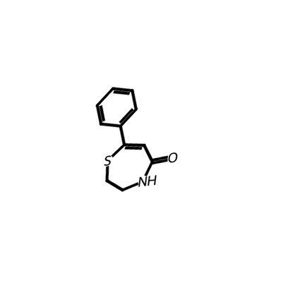 O=C1C=C(c2ccccc2)SCCN1